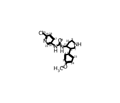 COc1ccc(C2CNCCC2NC(=O)Nc2ccc(Cl)nc2)cc1